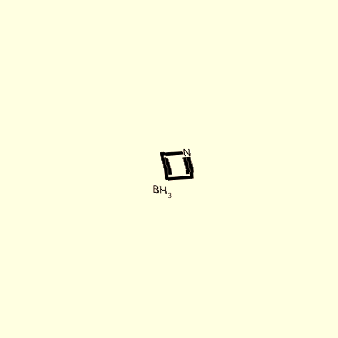 B.C1=CN=C1